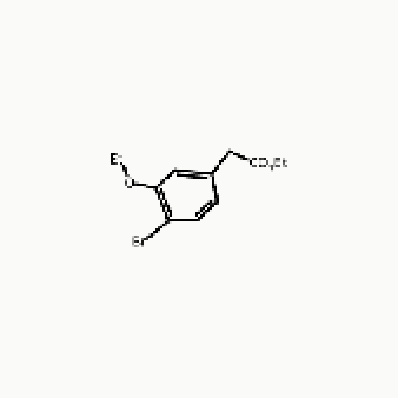 CCOC(=O)Cc1ccc(Br)c(OCC)c1